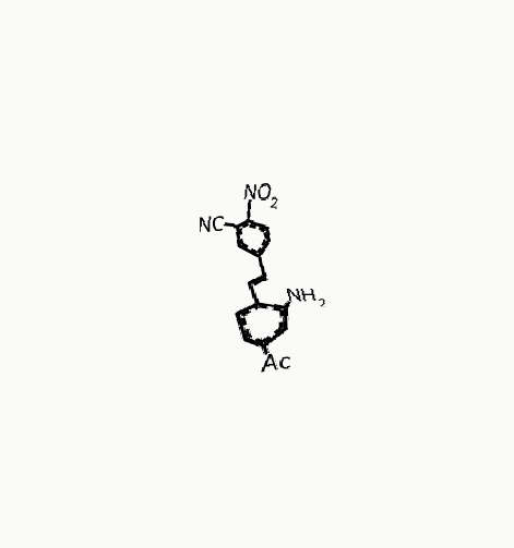 CC(=O)c1ccc(C=Cc2ccc([N+](=O)[O-])c(C#N)c2)c(N)c1